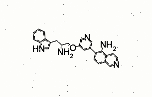 Nc1c(-c2cncc(OC[C@H](N)Cc3c[nH]c4ccccc34)c2)ccc2cnccc12